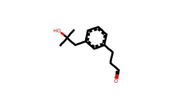 CC(C)(O)Cc1cccc(CCC=O)c1